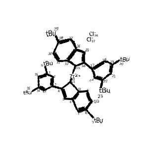 CC(C)(C)c1cc(C2=Cc3cc(C(C)(C)C)ccc3[CH]2[Zr+2][CH]2C(c3cc(C(C)(C)C)cc(C(C)(C)C)c3)=Cc3cc(C(C)(C)C)ccc32)cc(C(C)(C)C)c1.[Cl-].[Cl-]